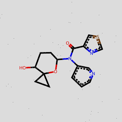 O=C(c1cscn1)N(c1cccnc1)C1CCC(O)C2(CC2)O1